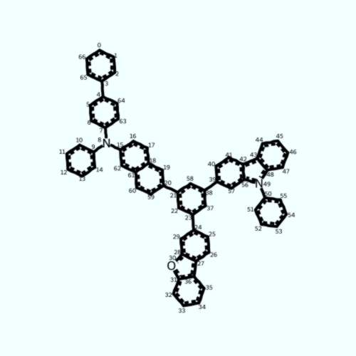 c1ccc(-c2ccc(N(c3ccccc3)c3ccc4cc(-c5cc(-c6ccc7c(c6)oc6ccccc67)cc(-c6ccc7c8ccccc8n(-c8ccccc8)c7c6)c5)ccc4c3)cc2)cc1